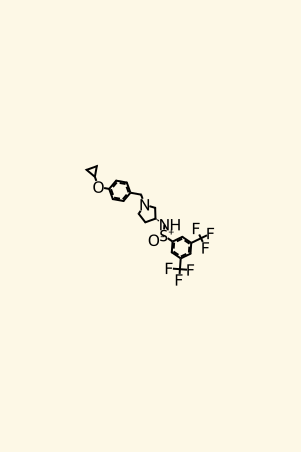 [O-][S+](N[C@@H]1CCN(Cc2ccc(OC3CC3)cc2)C1)c1cc(C(F)(F)F)cc(C(F)(F)F)c1